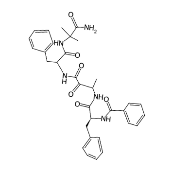 CC(NC(=O)[C@H](Cc1ccccc1)NC(=O)c1ccccc1)C(=O)C(=O)NC(Cc1ccccc1)C(=O)NC(C)(C)C(N)=O